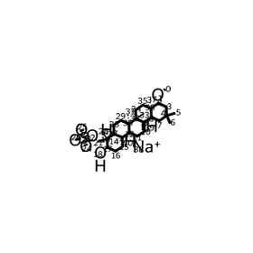 CO[C@@H]1CC(C)(C)C[C@H]2C3=CC[C@@H]4[C@@]5(C)CC[C@H](O)[C@](C)(COS(=O)(=O)[O-])[C@@H]5CC[C@@]4(C)[C@]3(C)CC[C@@]12C.[Na+]